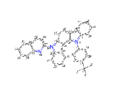 CC(C)(C)c1ccc(-n2c3ccccc3c3ccc4c(c5ccccc5n4-c4ccc5ccccc5n4)c32)cc1